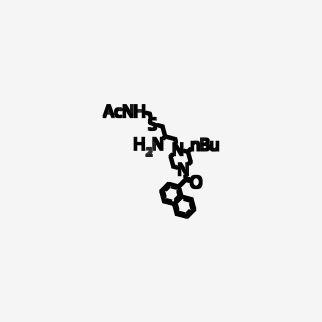 CCCCC1CN(C(=O)c2cccc3ccccc23)CCN1CC(N)CSCNC(C)=O